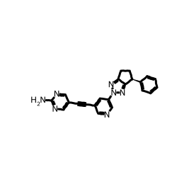 Nc1ncc(C#Cc2cncc(-n3nc4c(n3)[C@H](c3ccccc3)CC4)c2)cn1